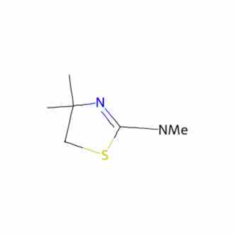 CNC1=NC(C)(C)CS1